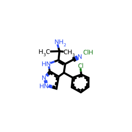 CC(C)(N)C1=C(C#N)C(c2ccccc2Cl)c2c[nH]nc2N1.Cl